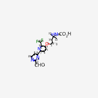 C[C@H](COc1ccc(-c2ccnc(C=O)n2)nc1C(F)F)CC(C)(C)NC(=O)O